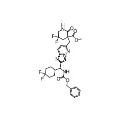 COC(=O)C1(Cc2ccc3nc(C(NC(=O)OCc4ccccc4)C4CCC(F)(F)CC4)cn3n2)CC(F)(F)CNC1=O